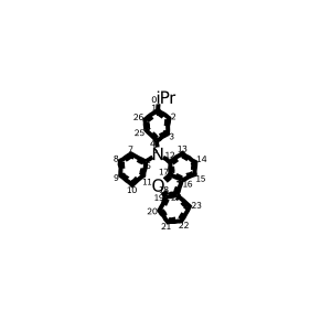 CC(C)c1ccc(N(c2ccccc2)c2cccc3c2oc2ccccc23)cc1